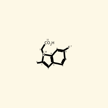 Cc1cc2ccc(F)cc2n1CC(=O)O